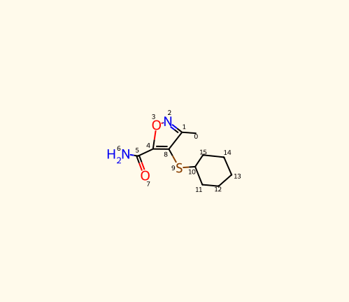 Cc1noc(C(N)=O)c1SC1CCCCC1